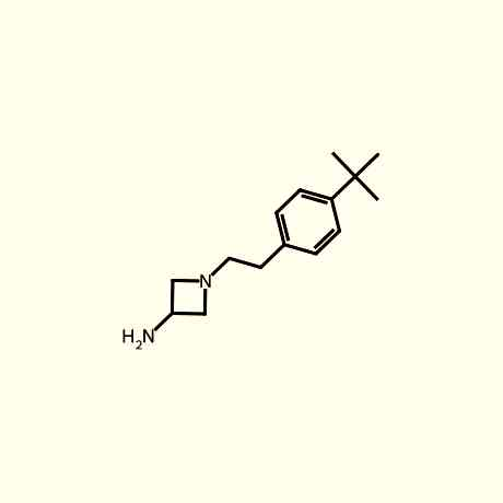 CC(C)(C)c1ccc(CCN2CC(N)C2)cc1